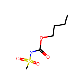 CCCCOC(=O)[N]S(C)(=O)=O